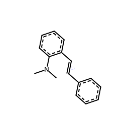 CN(C)c1ccccc1/C=C/c1ccccc1